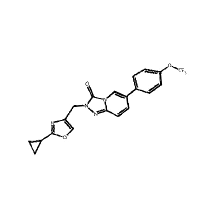 O=c1n(Cc2coc(C3CC3)n2)nc2ccc(-c3ccc(OC(F)(F)F)cc3)cn12